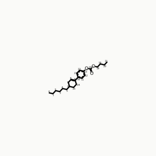 CCCCCCC1CC=C(c2ccc(OC(=O)OCCCC)cc2)CC1